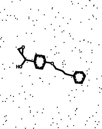 OC(c1ccc(OCCCc2ccccc2)cc1)C1CO1